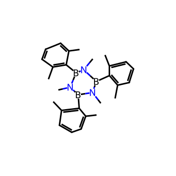 Cc1cccc(C)c1B1N(C)B(c2c(C)cccc2C)N(C)B(c2c(C)cccc2C)N1C